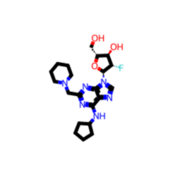 OC[C@H]1O[C@@H](n2cnc3c(NC4CCCC4)nc(CN4CCCCC4)nc32)[C@@H](F)[C@@H]1O